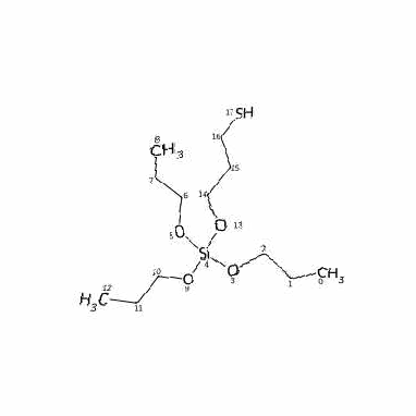 CCCO[Si](OCCC)(OCCC)OCCCS